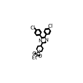 CCS(=O)(=O)N1CCC(c2cnc(-c3ccc(Cl)cc3)c(-c3ccc(Cl)cc3)n2)CC1